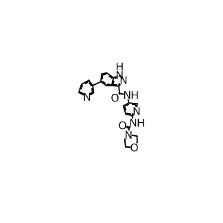 O=C(Nc1ccc(NC(=O)N2CCOCC2)nc1)c1n[nH]c2ccc(-c3cccnc3)cc12